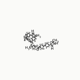 CC(=N)OC(=N)c1ccc(C2=CCN(C(=O)CN3CC[C@](C)(CCN(C=O)c4ccc(N)c(C(=N)c5ccnc(C(F)(F)F)c5)c4)C3)CC2)cc1